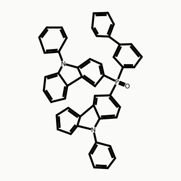 O=P(c1cccc(-c2ccccc2)c1)(c1ccc2c(c1)c1ccccc1n2-c1ccccc1)c1ccc2c(c1)c1ccccc1n2-c1ccccc1